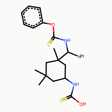 CCCC(NC(=S)Oc1ccccc1)C1(C)CC(NC(O)=S)CC(C)(C)C1